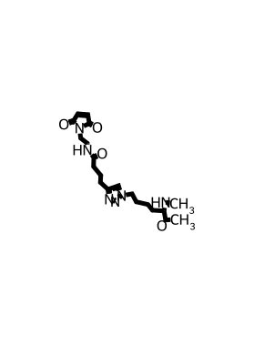 CNC(CCCCn1cc(CCCC(=O)NCCN2C(=O)C=CC2=O)nn1)C(C)=O